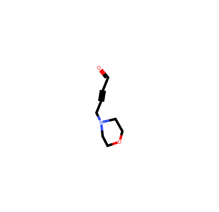 O=CC#CCN1CCOCC1